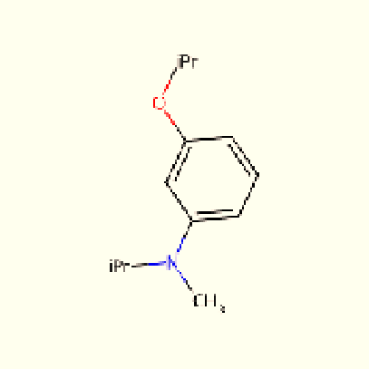 CC(C)Oc1cccc(N(C)C(C)C)c1